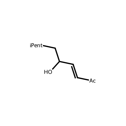 CCCC(C)CC(O)C=CC(C)=O